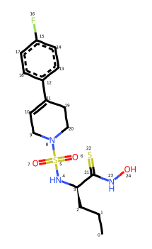 CCC[C@@H](NS(=O)(=O)N1CC=C(c2ccc(F)cc2)CC1)C(=S)NO